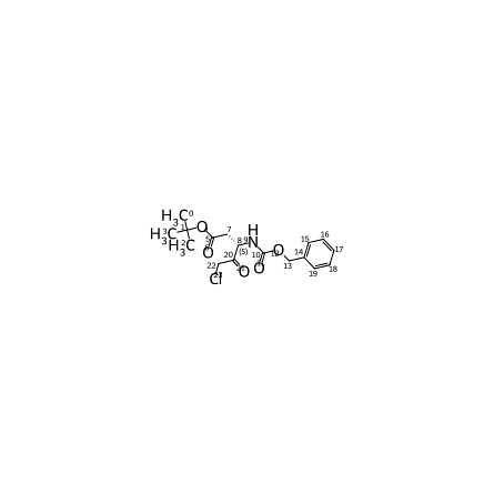 CC(C)(C)OC(=O)C[C@H](NC(=O)OCc1ccccc1)C(=O)CCl